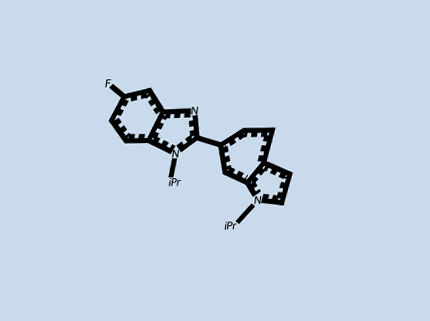 CC(C)n1ccc2ccc(-c3nc4cc(F)ccc4n3C(C)C)cc21